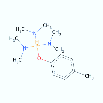 Cc1ccc(O[PH](N(C)C)(N(C)C)N(C)C)cc1